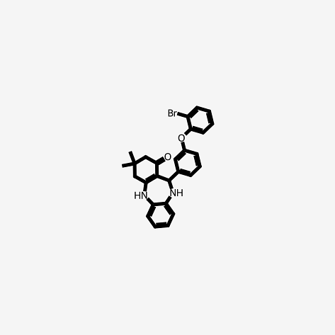 CC1(C)CC(=O)C2=C(C1)Nc1ccccc1NC2c1cccc(Oc2ccccc2Br)c1